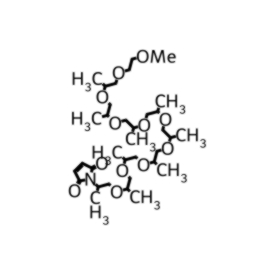 COCCOCC(C)OCC(C)OCC(C)OCC(C)OCC(C)OCC(C)OCC(C)OCC(C)OCC(C)N1C(=O)C=CC1=O